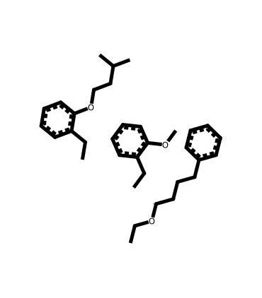 CCO[CH]CCCc1ccccc1.CCc1ccccc1OC.CCc1ccccc1OCCC(C)C